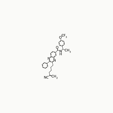 C=C(C#N)CCCCc1nc2cc(C(=O)NC(C)c3ccc(OC(F)(F)F)cc3)ccc2nc1-c1ccccc1